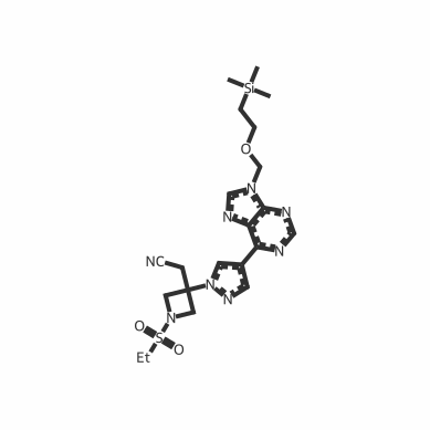 CCS(=O)(=O)N1CC(CC#N)(n2cc(-c3ncnc4c3ncn4COCC[Si](C)(C)C)cn2)C1